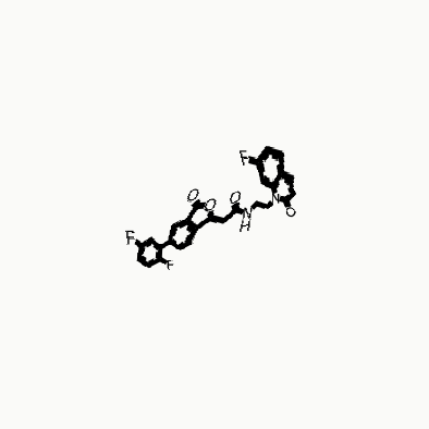 O=C(CC1OC(=O)c2cc(-c3cc(F)ccc3F)ccc21)NCCn1c(=O)ccc2ccc(F)cc21